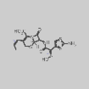 C/C=C\C1=C(C(=O)O)N2C(=O)C(NC(=O)/C(=N\O)c3csc(N)n3)[C@@H]2SC1